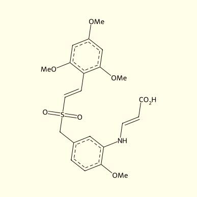 COc1cc(OC)c(C=CS(=O)(=O)Cc2ccc(OC)c(NC=CC(=O)O)c2)c(OC)c1